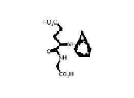 NC(CCC(=O)O)C(=O)NCC(=O)O.c1ccc2c(c1)C2